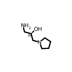 NC[C@@H](O)CN1CCCC1